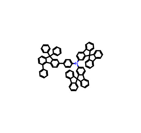 c1ccc(-c2cccc3c2-c2ccc(-c4ccc(N(c5ccc6c(c5)C5(c7ccccc7-c7ccccc75)c5ccccc5-6)c5ccc6c(c5)C5(c7ccccc7-c7ccccc75)c5ccccc5-6)cc4)cc2C3(c2ccccc2)c2ccccc2)cc1